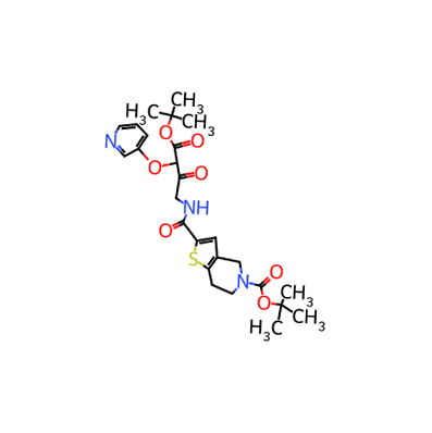 CC(C)(C)OC(=O)C(Oc1cccnc1)C(=O)CNC(=O)c1cc2c(s1)CCN(C(=O)OC(C)(C)C)C2